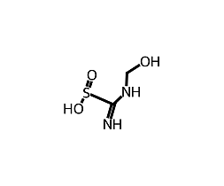 N=C(NCO)S(=O)O